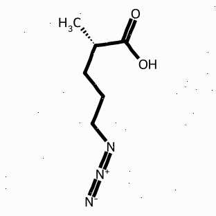 C[C@@H](CCCN=[N+]=[N-])C(=O)O